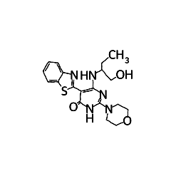 CCC(CO)Nc1nc(N2CCOCC2)[nH]c(=O)c1-c1nc2ccccc2s1